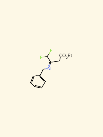 CCOC(=O)CC(=NCc1ccccc1)C(F)F